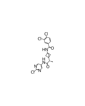 C[C@@H](C(=O)Nc1cnc(Cl)nc1)C12CC(NC(=O)c3ccc(Cl)c(Cl)c3)(C1)C2